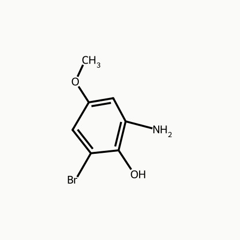 COc1cc(N)c(O)c(Br)c1